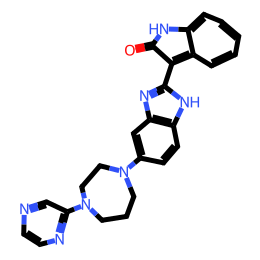 O=c1[nH]c2cccccc-2c1-c1nc2cc(N3CCCN(c4cnccn4)CC3)ccc2[nH]1